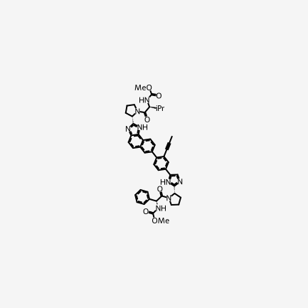 CC#Cc1cc(-c2cnc([C@@H]3CCCN3C(=O)[C@H](NC(=O)OC)c3ccccc3)[nH]2)ccc1-c1ccc2c(ccc3nc([C@@H]4CCCN4C(=O)[C@@H](NC(=O)OC)C(C)C)[nH]c32)c1